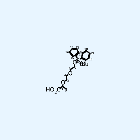 CC(OCCOCCO[Si](c1ccccc1)(c1ccccc1)C(C)(C)C)C(=O)O